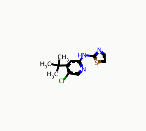 CC(C)(C)c1cc(Nc2nccs2)ncc1Cl